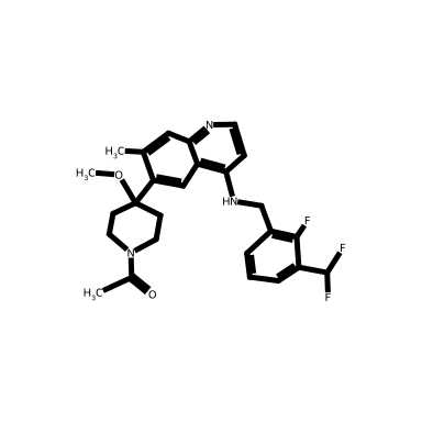 COC1(c2cc3c(NCc4cccc(C(F)F)c4F)ccnc3cc2C)CCN(C(C)=O)CC1